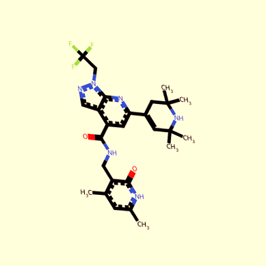 Cc1cc(C)c(CNC(=O)c2cc(C3=CC(C)(C)NC(C)(C)C3)nc3c2cnn3CC(F)(F)F)c(=O)[nH]1